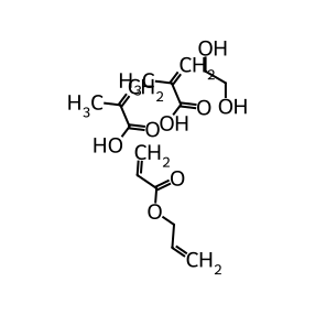 C=C(C)C(=O)O.C=C(C)C(=O)O.C=CCOC(=O)C=C.OCCO